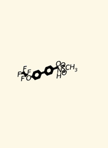 CS(=O)(=O)NC(=O)c1ccc(-c2ccc(OC(F)(F)C(F)F)cc2)cc1